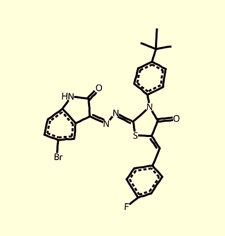 CC(C)(C)c1ccc(N2C(=O)C(=Cc3ccc(F)cc3)SC2=NN=C2C(=O)Nc3ccc(Br)cc32)cc1